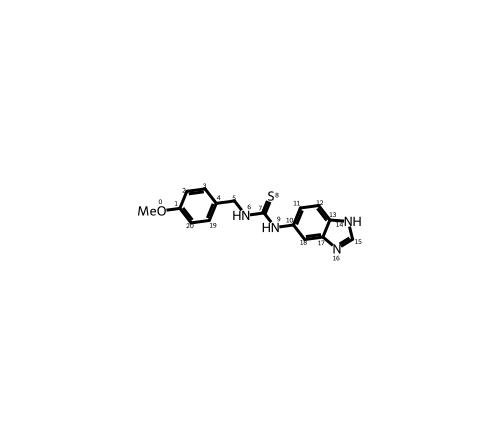 COc1ccc(CNC(=S)Nc2ccc3[nH]cnc3c2)cc1